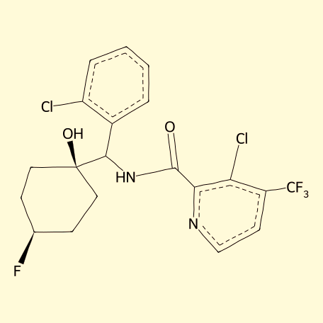 O=C(NC(c1ccccc1Cl)[C@]1(O)CC[C@@H](F)CC1)c1nccc(C(F)(F)F)c1Cl